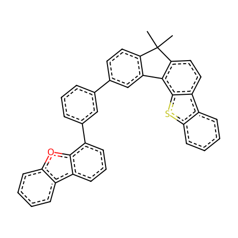 CC1(C)c2ccc(-c3cccc(-c4cccc5c4oc4ccccc45)c3)cc2-c2c1ccc1c2sc2ccccc21